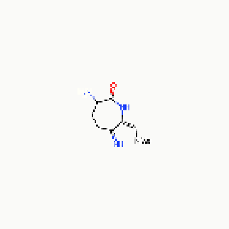 CN/C=C1/NC(=O)C(N)CCC1=N